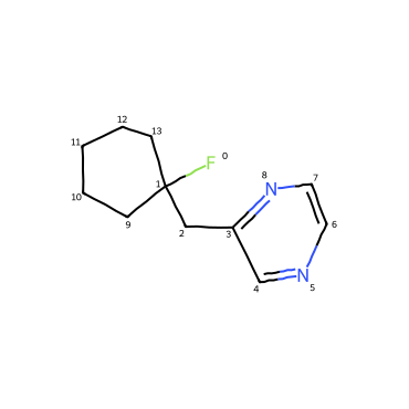 FC1(Cc2cnccn2)CCCCC1